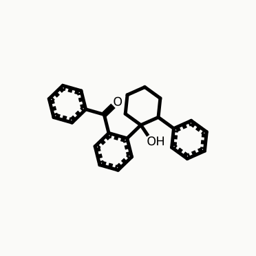 O=C(c1ccccc1)c1ccccc1C1(O)CCCCC1c1ccccc1